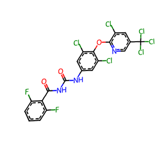 O=C(NC(=O)c1c(F)cccc1F)Nc1cc(Cl)c(Oc2ncc(C(Cl)(Cl)Cl)cc2Cl)c(Cl)c1